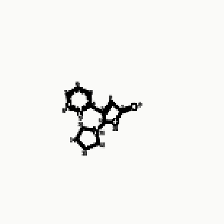 O=C1C=C(c2cccnn2)C(N2CCCC2)O1